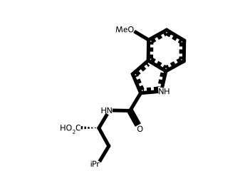 COc1cccc2[nH]c(C(=O)N[C@H](CC(C)C)C(=O)O)cc12